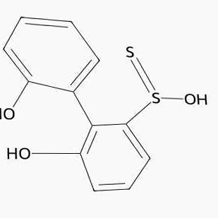 Oc1ccccc1-c1c(O)cccc1S(O)=S